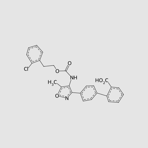 Cc1onc(-c2ccc(-c3ccccc3C(=O)O)cc2)c1NC(=O)OCCc1ccccc1Cl